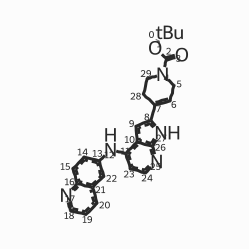 CC(C)(C)OC(=O)N1CC=C(c2cc3c(Nc4ccc5ncccc5c4)ccnc3[nH]2)CC1